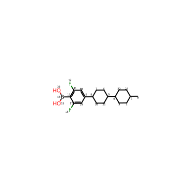 CC1CCC(C2CCC(c3cc(F)c(B(O)O)c(F)c3)CC2)CC1